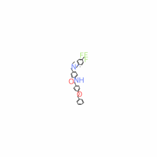 CC[N+](Cc1ccc(NC(=O)c2ccc(OCc3ccccc3)cc2)cc1)Cc1ccc(C(F)(F)F)cc1